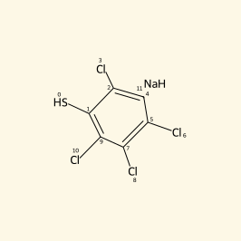 Sc1c(Cl)cc(Cl)c(Cl)c1Cl.[NaH]